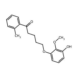 COc1c(O)cccc1OCCCCC(=O)c1ccccc1C